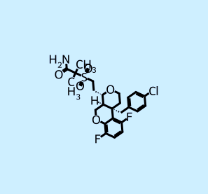 CC(C)(C(N)=O)S(=O)(=O)CC[C@@H]1OCC[C@@]2(Cc3ccc(Cl)cc3)c3c(F)ccc(F)c3OC[C@@H]12